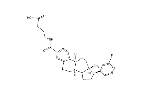 C[C@]12CC[C@@H]3c4ccc(C(=O)NCCCC(=O)O)cc4CC[C@H]3[C@@H]1CC[C@@H]2c1cncc(F)c1